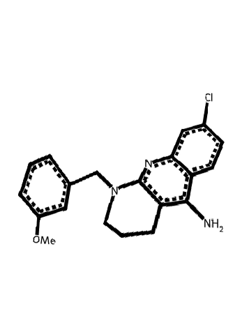 COc1cccc(CN2CCCc3c2nc2cc(Cl)ccc2c3N)c1